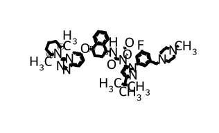 C[C@@H]1CCC[C@H](C)N1c1nnc2ccc(O[C@@H]3CC[C@H](NC(=O)N(OC=O)c4cc(C(C)(C)C)nn4-c4cc(F)cc(CN5CCN(C)CC5)c4)c4ccccc43)cn12